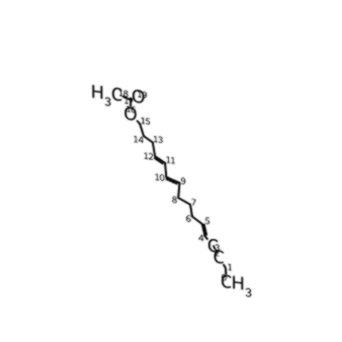 CCCC/C=C/CCC/C=C/C=C/CCCOC(C)=O